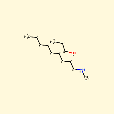 CCCCCCCCCNC.CCCO